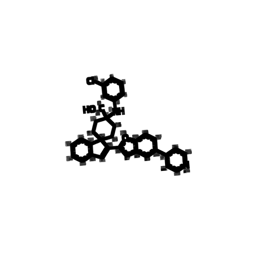 O=C(O)C1(Nc2cccc(Cl)c2)CCC2(CC1)C(c1cc3cc(-c4ccncc4)ccc3o1)=Cc1ccccc12